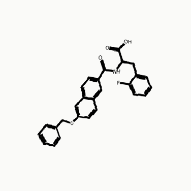 O=C(NC(Cc1ccccc1F)C(=O)O)c1ccc2cc(OCc3ccccc3)ccc2c1